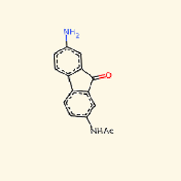 CC(=O)Nc1ccc2c(c1)C(=O)c1cc(N)ccc1-2